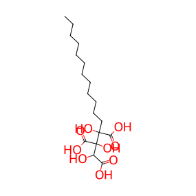 CCCCCCCCCCCCC(O)(C(=O)O)C(O)(C(=O)O)C(O)C(=O)O